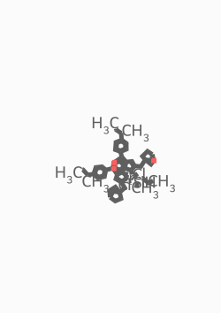 CCC[SiH](C)[Zr]([Cl])([Cl])([CH]1C(CC23CCC(CC2)C3)=Cc2c(-c3ccc(C(C)CC)cc3)cccc21)[CH]1C(CC23CCC(CC2)C3)=Cc2c(-c3ccc(C(C)CC)cc3)cccc21